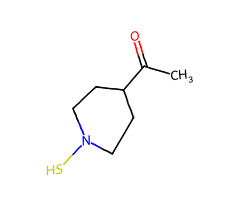 CC(=O)C1CCN(S)CC1